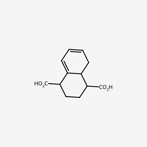 O=C(O)C1CCC(C(=O)O)C2CC=CC=C12